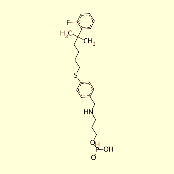 CC(C)(CCCCSc1ccc(CNCCCO[PH](=O)O)cc1)c1ccccc1F